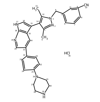 Cc1nn(Cc2cccc(C#N)c2)c(C)c1-c1c[nH]c2ncc(-c3ccc(N4CCNCC4)cc3)cc12.Cl